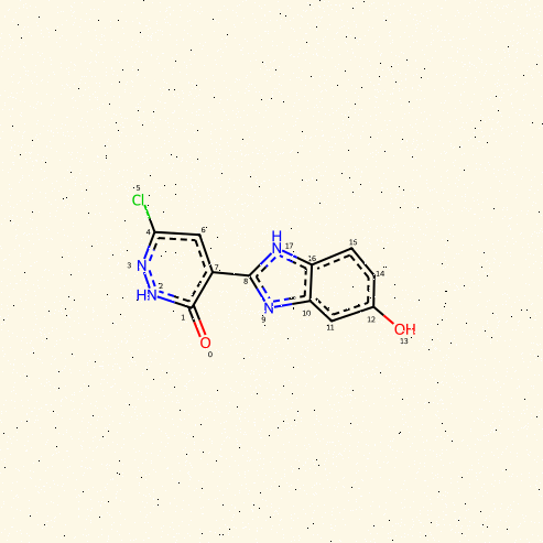 O=c1[nH]nc(Cl)cc1-c1nc2cc(O)ccc2[nH]1